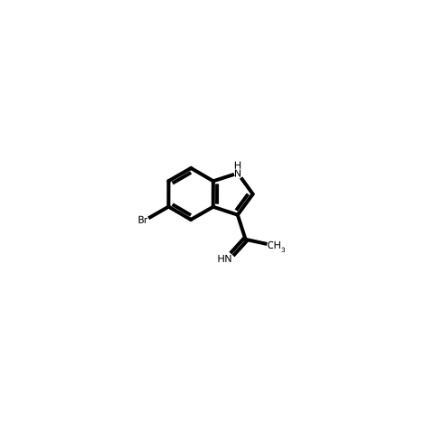 CC(=N)c1c[nH]c2ccc(Br)cc12